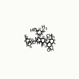 CCc1c(F)ccc2cc(O)cc(-c3ncc4c(N5C[C@H](C)C[C@@H](O)C5)nc(OC[C@@]56CCCN5C[C@H](F)C6)nc4c3F)c12